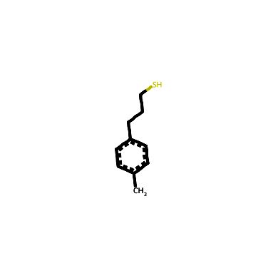 Cc1ccc(CCCS)cc1